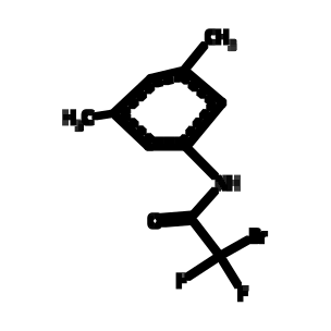 Cc1cc(C)cc(NC(=O)C(F)(F)Br)c1